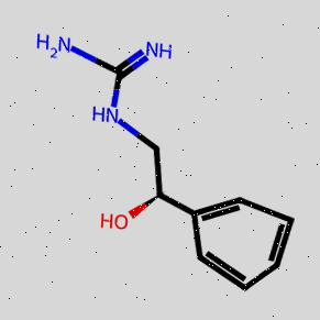 N=C(N)NC[C@H](O)c1ccccc1